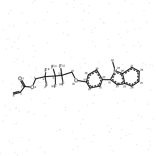 C=CC(=O)OCC(F)(F)C(F)(F)C(F)(F)COc1ccc(-c2cc3ccccc3n2C)cc1